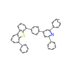 c1ccc(-c2cc(-c3ccc(-c4cccc5c4sc4c(-c6ccccc6)cccc45)cc3)cc(-c3ccccc3)n2)cc1